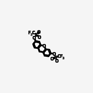 O=S(=O)(Oc1ccc2c(c1)Oc1cc(OS(=O)(=O)C(F)(F)F)ccc1C2)C(F)(F)F